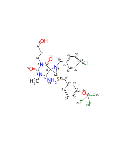 CN1C(=O)N(CCCO)C(=O)C2(C1N)[C@@H](SCc1cccc(OC(F)(F)F)c1)N2Cc1ccc(Cl)cc1